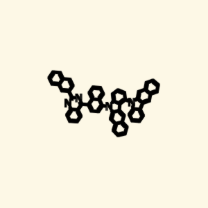 c1ccc2cc(-c3nc(-c4ccc(-n5c6cc7ccccc7cc6c6c(-n7c8ccccc8c8cc9ccccc9cc87)cccc65)c5ccccc45)c4ccccc4n3)ccc2c1